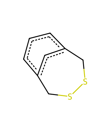 c1cc2cc(c1)CSSC2